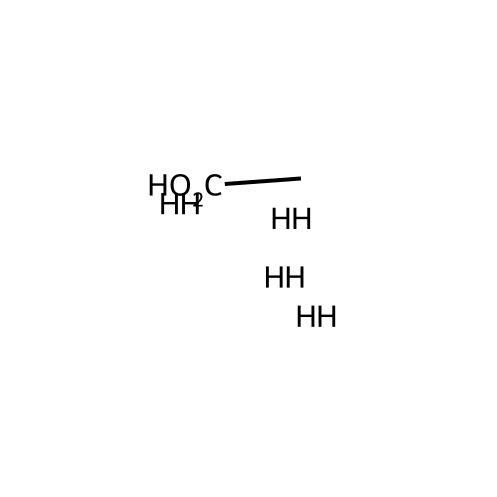 CC(=O)O.[HH].[HH].[HH].[HH]